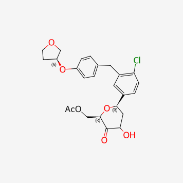 CC(=O)OC[C@H]1O[C@@H](c2ccc(Cl)c(Cc3ccc(O[C@H]4CCOC4)cc3)c2)CC(O)C1=O